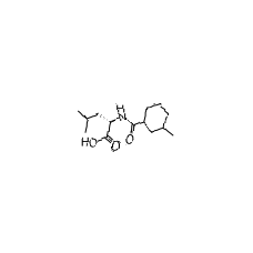 CC(C)C[C@H](NC(=O)C1CCCC(C)C1)C(=O)O